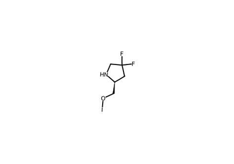 FC1(F)CN[C@H](COI)C1